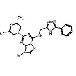 C[C@@H]1CN(c2nc(NCc3nnc(-c4ccccc4)[nH]3)n3ncc(Br)c3n2)C[C@H](C)O1